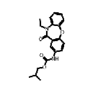 CCN1C(=O)c2cc(NC(=O)OCC(C)C)ccc2Oc2ccccc21